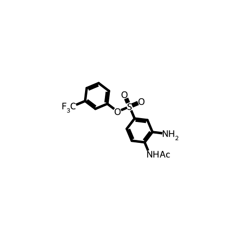 CC(=O)Nc1ccc(S(=O)(=O)Oc2cccc(C(F)(F)F)c2)cc1N